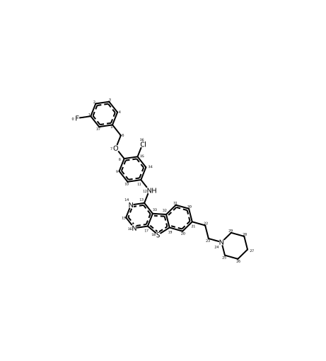 Fc1cccc(COc2ccc(Nc3ncnc4sc5cc(CCN6CCCCC6)ccc5c34)cc2Cl)c1